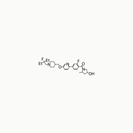 CCC(F)(CC)CN1CCC(COc2ccc(-c3ccc(C(=O)N4CC(O)CC4C)c(F)c3)nc2)CC1